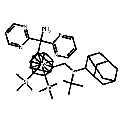 CC(C)(C)P(C[C]12[C]3(C(P)(c4ncccn4)c4ncccn4)[CH]4[C]5([Si](C)(C)C)[C]1([Si](C)(C)C)[Fe]42351678[CH]2[CH]1[CH]6[CH]7[CH]28)C1C2CC3CC(C2)CC1C3